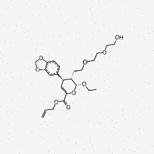 C=CCOC(=O)C1=C[C@@H](c2ccc3c(c2)OCO3)[C@H](CCOCCOCCO)[C@H](OCC)O1